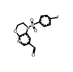 O=Cc1cnc2c(c1)N(S(=O)(=O)c1ccc(F)cc1)CCO2